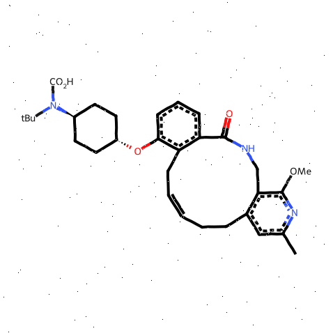 COc1nc(C)cc2c1CNC(=O)c1cccc(O[C@H]3CC[C@H](N(C(=O)O)C(C)(C)C)CC3)c1CC=CCC2